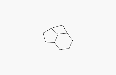 C1CC2CCC3CC(C1)C23